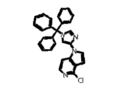 Clc1nccc2c1ccn2-c1cn(C(c2ccccc2)(c2ccccc2)c2ccccc2)cn1